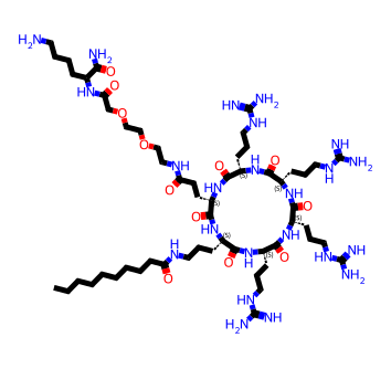 CCCCCCCCCC(=O)NCCC[C@@H]1NC(=O)[C@H](CCC(=O)NCCOCCOCC(=O)NC(CCCCN)C(N)=O)NC(=O)[C@H](CCCNC(=N)N)NC(=O)[C@H](CCCNC(=N)N)NC(=O)[C@H](CCCNC(=N)N)NC(=O)[C@H](CCCNC(=N)N)NC1=O